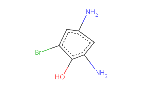 Nc1cc(N)c(O)c(Br)c1